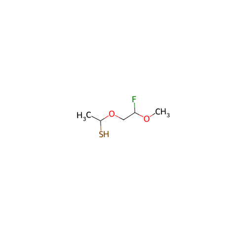 COC(F)COC(C)S